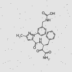 Cc1cc(C(=O)N[C@@H](Cc2ccccc2)C(=O)C(N)=O)n(-c2cccc(CNC(=O)O)c2)n1